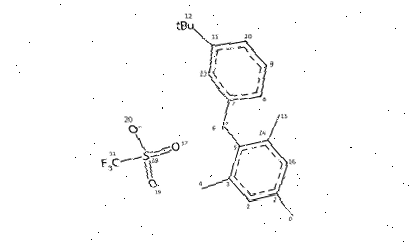 Cc1cc(C)c([I+]c2cccc(C(C)(C)C)c2)c(C)c1.O=S(=O)([O-])C(F)(F)F